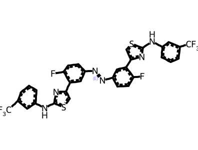 Fc1ccc(/N=N/c2ccc(F)c(-c3csc(Nc4cccc(C(F)(F)F)c4)n3)c2)cc1-c1csc(Nc2cccc(C(F)(F)F)c2)n1